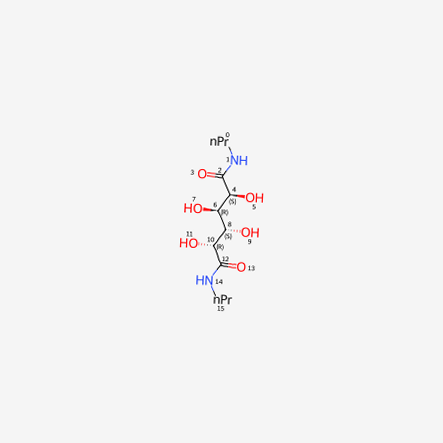 CCCNC(=O)[C@@H](O)[C@H](O)[C@H](O)[C@@H](O)C(=O)NCCC